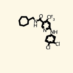 O=C(NCC1CCCCCC1)c1cnc(Nc2ccc(Cl)c(Cl)c2)cc1C(F)(F)F